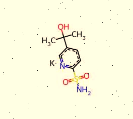 CC(C)(O)c1ccc(S(N)(=O)=O)nc1.[K]